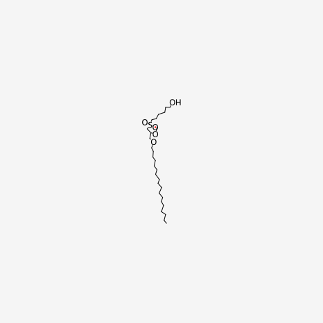 CCCCCCCCCCCCCCCCCCOCC(CS(=O)(=O)CCCCCCO)OC